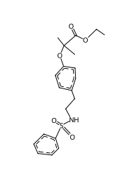 CCOC(=O)C(C)(C)Oc1ccc(CCNS(=O)(=O)c2ccccc2)cc1